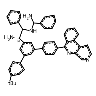 CC(C)(C)c1ccc(-c2cc(-c3ccc(-c4nc5cnccc5c5ccccc45)cc3)cc([C@H](N)C(NC(N)c3ccccc3)c3ccccc3)c2)cc1